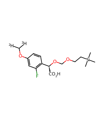 [2H]C([2H])Oc1ccc([C@@H](OCOCC[Si](C)(C)C)C(=O)O)c(F)c1